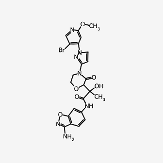 COc1cc(-n2ccc(N3CCOC(C(C)(O)C(=O)Nc4ccc5c(N)noc5c4)C3=O)n2)c(Br)cn1